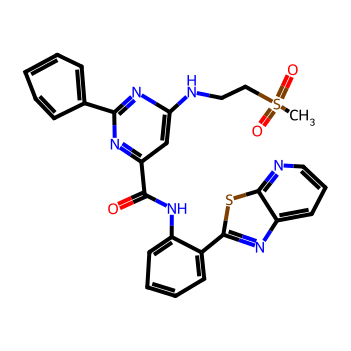 CS(=O)(=O)CCNc1cc(C(=O)Nc2ccccc2-c2nc3cccnc3s2)nc(-c2ccccc2)n1